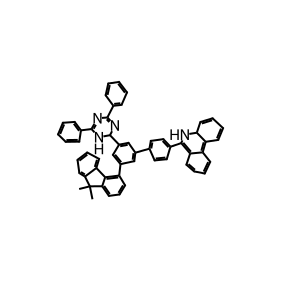 CC1(C)c2ccccc2-c2c(-c3cc(-c4ccc(C5=c6ccccc6=C6C=CC=CC6N5)cc4)cc(C4N=C(c5ccccc5)N=C(c5ccccc5)N4)c3)cccc21